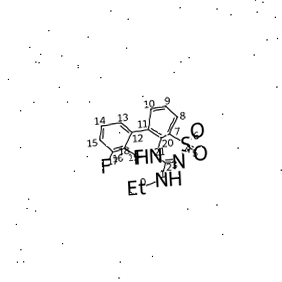 CCNC1=NS(=O)(=O)c2cccc(-c3cccc(F)c3F)c2N1